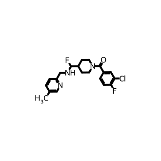 Cc1ccc(CNC(F)C2CCN(C(=O)c3ccc(F)c(Cl)c3)CC2)nc1